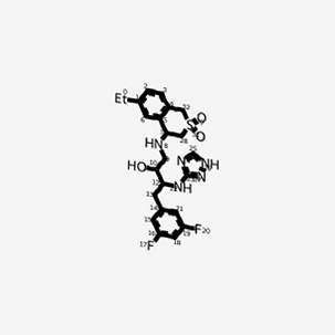 CCc1ccc2c(c1)C(NCC(O)C(Cc1cc(F)cc(F)c1)Nc1nc[nH]n1)CS(=O)(=O)C2